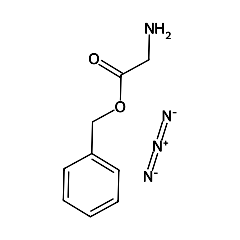 NCC(=O)OCc1ccccc1.[N-]=[N+]=[N-]